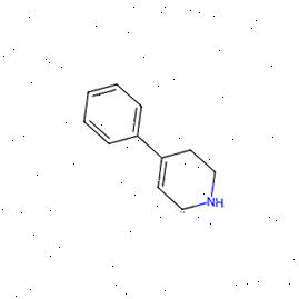 [C]1C=C(c2ccccc2)CCN1